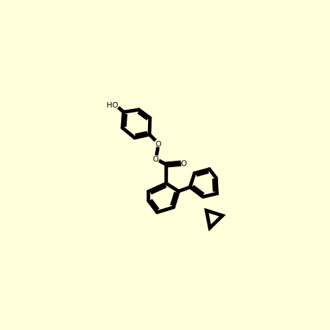 C1CC1.O=C(OOc1ccc(O)cc1)c1ccccc1-c1ccccc1